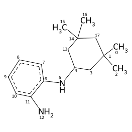 CC1(C)CC(Nc2ccccc2N)CC(C)(C)C1